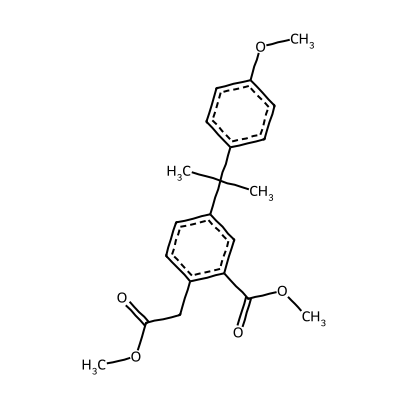 COC(=O)Cc1ccc(C(C)(C)c2ccc(OC)cc2)cc1C(=O)OC